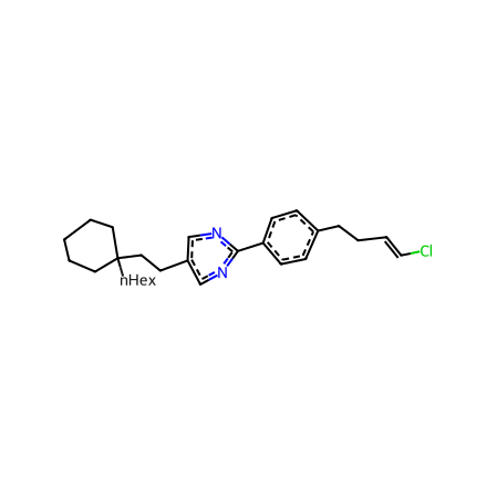 CCCCCCC1(CCc2cnc(-c3ccc(CC/C=C/Cl)cc3)nc2)CCCCC1